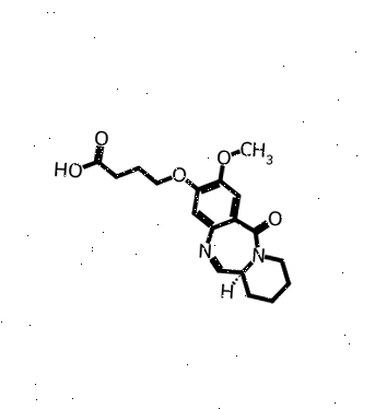 COc1cc2c(cc1OCCCC(=O)O)N=C[C@@H]1CCCCN1C2=O